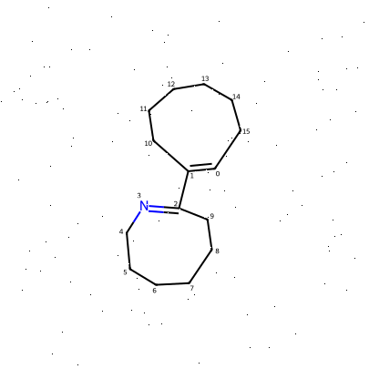 C1=C(C2=NCCCCCC2)CCCCCC1